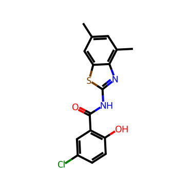 Cc1cc(C)c2nc(NC(=O)c3cc(Cl)ccc3O)sc2c1